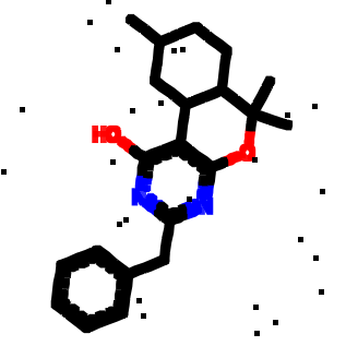 CC1CCC2C(C1)c1c(O)nc(Cc3ccccc3)nc1OC2(C)C